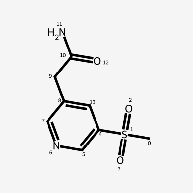 CS(=O)(=O)c1cncc([CH]C(N)=O)c1